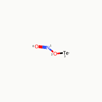 O=NO[Te]